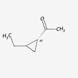 CCC1C[C@H]1C(C)=O